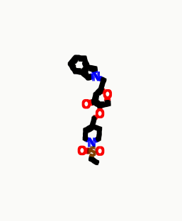 CCS(=O)(=O)N1CC=C(COc2coc(Cn3cc4ccccc4c3)cc2=O)CC1